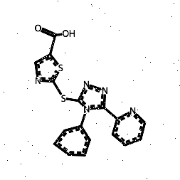 O=C(O)c1cnc(Sc2nnc(-c3ccccn3)n2-c2ccccc2)s1